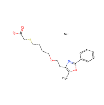 Cc1oc(-c2ccccc2)nc1CCOCCCCSCC(=O)[O-].[Na+]